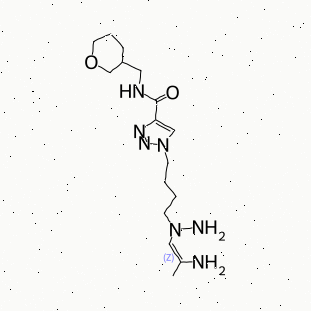 C/C(N)=C/N(N)CCCCn1cc(C(=O)NCC2CCCOC2)nn1